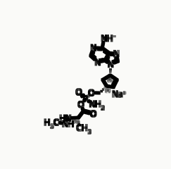 CNN[C@@H](C)C(=O)OP(N)(=O)OC[C@H]1C=C[C@@H](n2cnc3c([NH-])ncnc32)C1.[Na+]